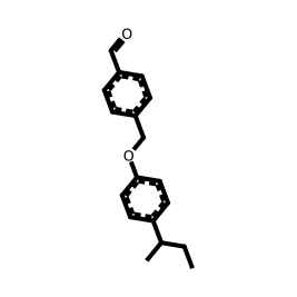 CCC(C)c1ccc(OCc2ccc(C=O)cc2)cc1